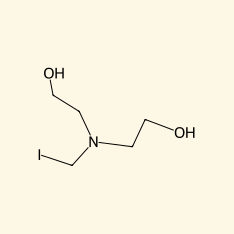 OCCN(CI)CCO